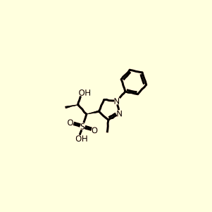 CC1=NN(c2ccccc2)CC1[C@H]([C@@H](C)O)S(=O)(=O)O